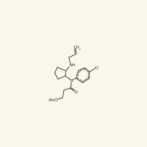 C=CCNC1CCCC1N(C(=O)CCOC)c1ccc(Cl)cc1